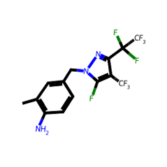 Cc1cc(Cn2nc(C(F)(F)C(F)(F)F)c(C(F)(F)F)c2F)ccc1N